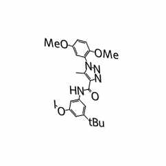 COc1ccc(OC)c(-n2nnc(C(=O)Nc3cc(OI)cc(C(C)(C)C)c3)c2C)c1